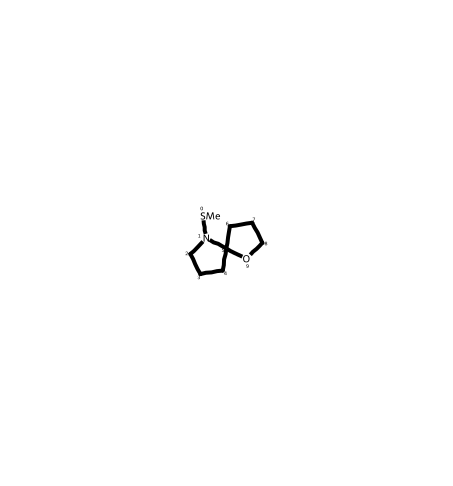 CSN1CCCC12CCCO2